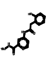 CC(C)(C)NC(=O)c1cc(NC(=O)Cc2ccccc2O)ccn1